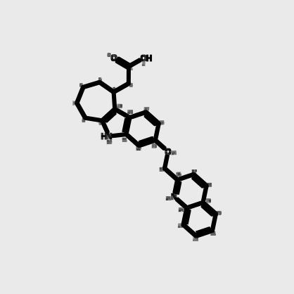 O=C(O)CC1CCCCc2[nH]c3cc(OCc4ccc5ccccc5n4)ccc3c21